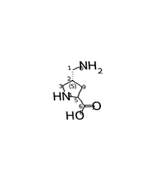 NC[C@H]1CNC(C(=O)O)C1